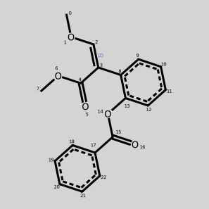 CO/C=C(\C(=O)OC)c1ccccc1OC(=O)c1ccccc1